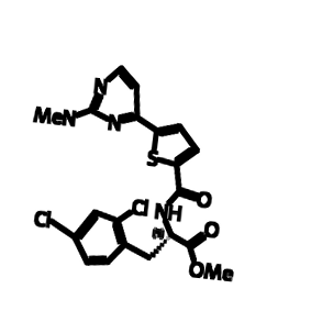 CNc1nccc(-c2ccc(C(=O)N[C@@H](Cc3ccc(Cl)cc3Cl)C(=O)OC)s2)n1